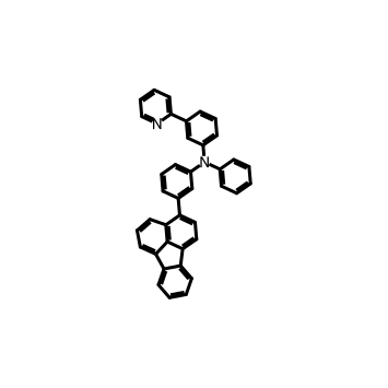 c1ccc(N(c2cccc(-c3ccccn3)c2)c2cccc(-c3ccc4c5c(cccc35)-c3ccccc3-4)c2)cc1